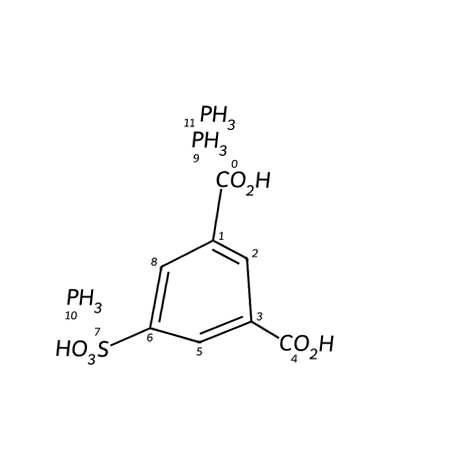 O=C(O)c1cc(C(=O)O)cc(S(=O)(=O)O)c1.P.P.P